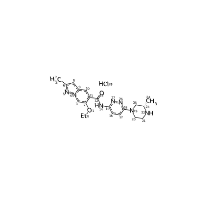 CCOc1cn2nc(C)cc2cc1C(=O)Nc1ccc(N2CCN[C@@H](C)C2)nn1.Cl